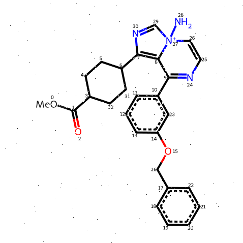 COC(=O)C1CCC(C2=C3C(c4cccc(OCc5ccccc5)c4)=NC=C[N+]3(N)C=N2)CC1